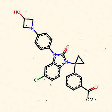 COC(=O)c1cccc(C2(n3c(=O)n(-c4ccc(N5CC(O)C5)cc4)c4cc(Cl)ccc43)CC2)c1